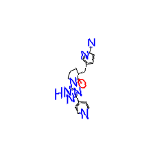 N#Cc1ccc(CC2CCCN(c3nc(-c4ccncc4)n[nH]3)C2=O)cn1